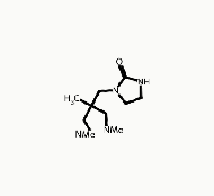 CNCC(C)(CNC)CN1CCNC1=O